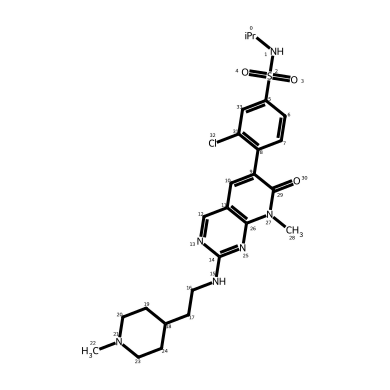 CC(C)NS(=O)(=O)c1ccc(-c2cc3cnc(NCCC4CCN(C)CC4)nc3n(C)c2=O)c(Cl)c1